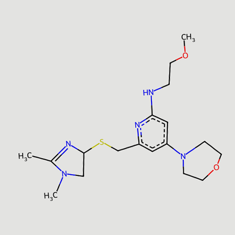 COCCNc1cc(N2CCOCC2)cc(CSC2CN(C)C(C)=N2)n1